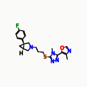 Cc1ncoc1-c1nnc(SCCCN2C[C@H]3C[C@]3(c3ccc(F)cc3)C2)n1C